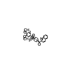 COc1ccc(S(=O)(=O)N2CCN(C(=O)c3ccc4ccccc4n3)CC2)cc1OC